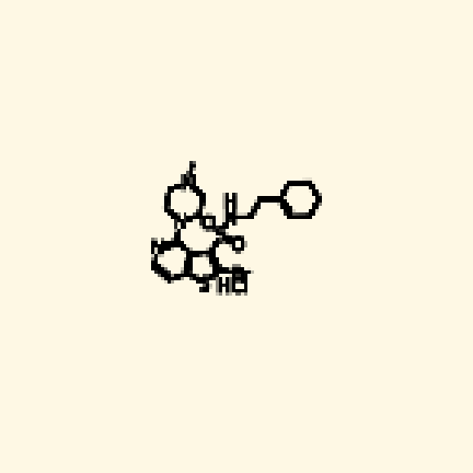 CN1CCN(c2nccc3sc(Br)c(S(=O)(=O)NCCC4=CCCCC4)c23)CC1.Cl